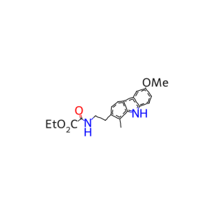 CCOC(=O)C(=O)NCCc1ccc2c([nH]c3ccc(OC)cc32)c1C